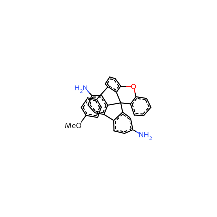 COc1ccc(-c2cccc3c2C2(c4ccccc4O3)c3cc(N)ccc3-c3ccc(N)cc32)cc1